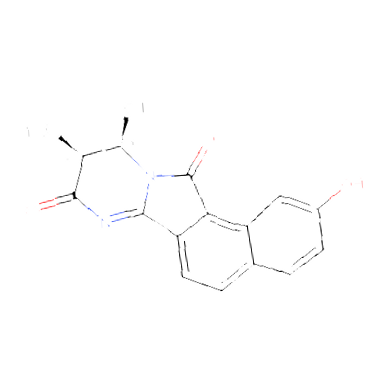 C[C@@H]1C(=O)N=C2c3ccc4ccc(O)cc4c3C(=O)N2[C@@H]1C